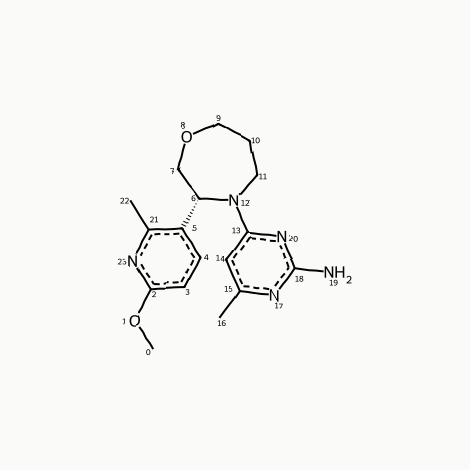 COc1ccc([C@@H]2COCCCN2c2cc(C)nc(N)n2)c(C)n1